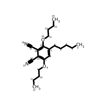 CCCCCc1cc(OCCCC)c(C#N)c(C#N)c1OCCCC